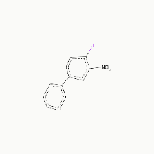 O=[N+]([O-])c1cc(-c2ccccc2)ccc1I